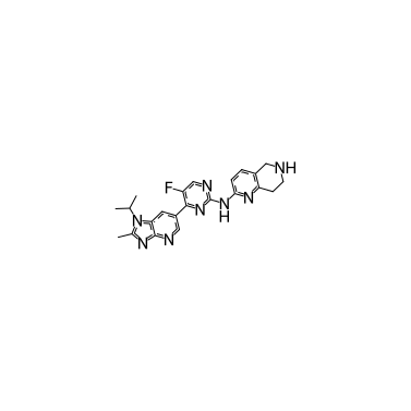 Cc1nc2ncc(-c3nc(Nc4ccc5c(n4)CCNC5)ncc3F)cc2n1C(C)C